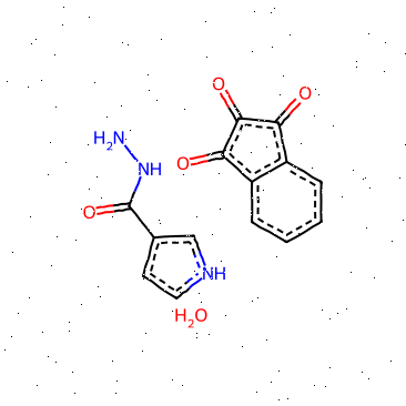 NNC(=O)c1cc[nH]c1.O.O=c1c(=O)c2ccccc2c1=O